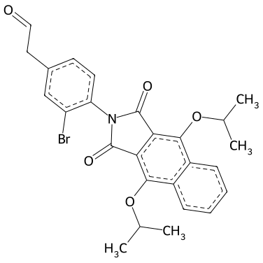 CC(C)Oc1c2c(c(OC(C)C)c3ccccc13)C(=O)N(c1ccc(CC=O)cc1Br)C2=O